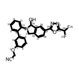 N#CCOc1cccc(-c2ccccc2N2Cc3ccc(-c4nnc(C(F)F)o4)cc3C2O)c1